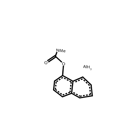 CNC(=O)Oc1cccc2ccccc12.[AlH3]